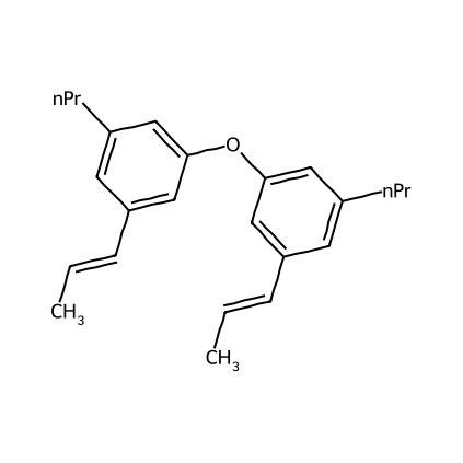 CC=Cc1cc(CCC)cc(Oc2cc(C=CC)cc(CCC)c2)c1